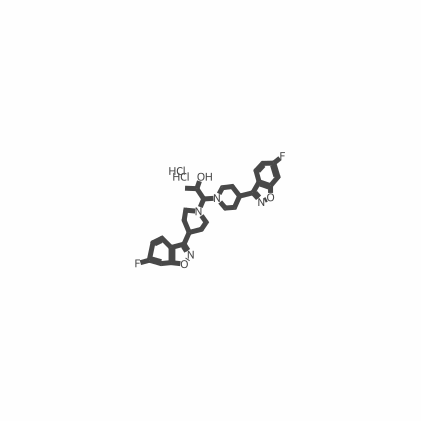 CC(O)C(N1CCC(c2noc3cc(F)ccc23)CC1)N1CCC(c2noc3cc(F)ccc23)CC1.Cl.Cl